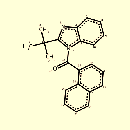 CC(C)(C)c1nc2ccccc2n1C(=O)c1cccc2ccccc12